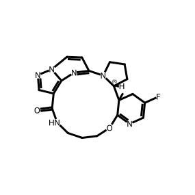 CC12CC(F)=CN=C1OCCCNC(=O)c1cnn3ccc(nc13)N1CCC[C@@H]12